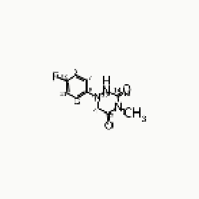 CN1C(=O)CN(c2ccc(F)cc2)NC1=O